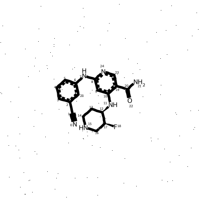 N#Cc1cccc(Nc2cc(N[C@@H]3CCNC[C@@H]3F)c(C(N)=O)cn2)c1